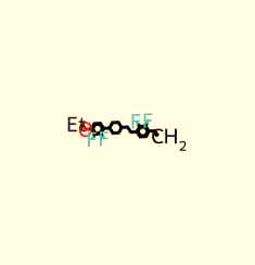 C=Cc1ccc(CCC2CCC(c3ccc(OCC)c(F)c3F)CC2)c(F)c1F